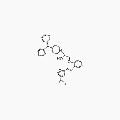 Cc1cc(C=Cc2ccccc2OCC(O)CN2CCN(C(c3ccccc3)c3ccccc3)CC2)on1